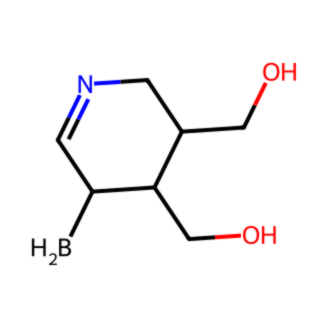 BC1C=NCC(CO)C1CO